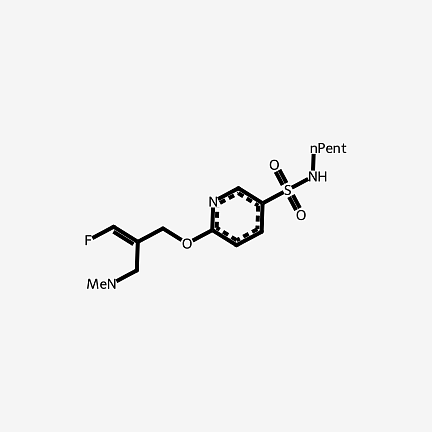 CCCCCNS(=O)(=O)c1ccc(OC/C(=C/F)CNC)nc1